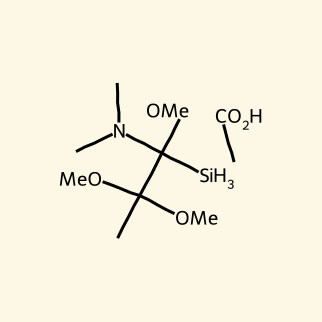 CC(=O)O.COC(C)(OC)C([SiH3])(OC)N(C)C